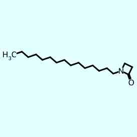 CCCCCCCCCCCCCCCN1CCC1=O